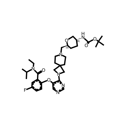 CCN(C(=O)c1cc(F)ccc1Oc1cncnc1N1CC2(CCN(C[C@@H]3CC[C@@H](NC(=O)OC(C)(C)C)CO3)CC2)C1)C(C)C